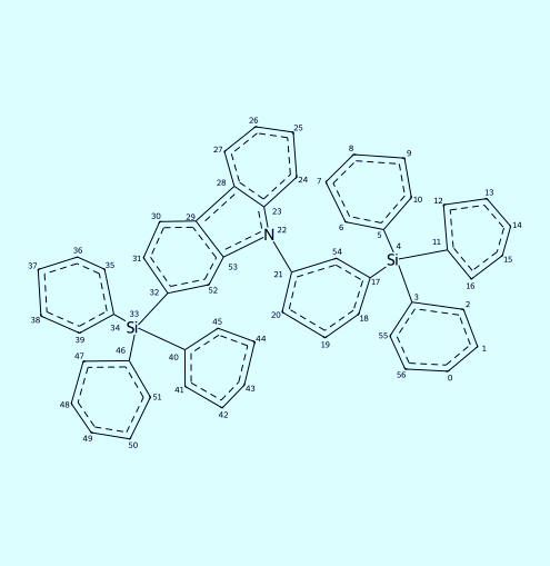 c1ccc([Si](c2ccccc2)(c2ccccc2)c2cccc(-n3c4ccccc4c4ccc([Si](c5ccccc5)(c5ccccc5)c5ccccc5)cc43)c2)cc1